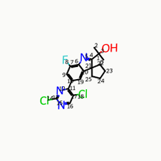 CC(C)(O)C1=Nc2c(F)cc(-c3nc(Cl)ncc3Cl)cc2C12CCCC2